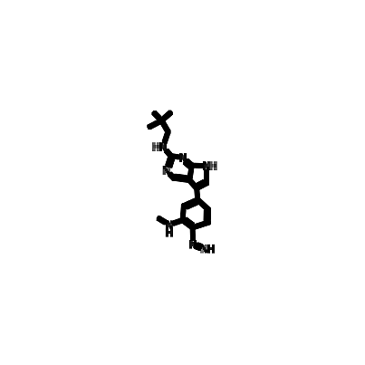 CNc1cc(-c2c[nH]c3nc(NCC(C)(C)C)ncc23)ccc1N=N